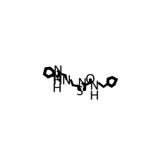 O=C(NCCc1ccccc1)c1csc(CCNCc2nc3ccccc3[nH]2)n1